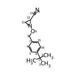 CC(C)(C)c1ccc(CON2CC2C#N)cc1